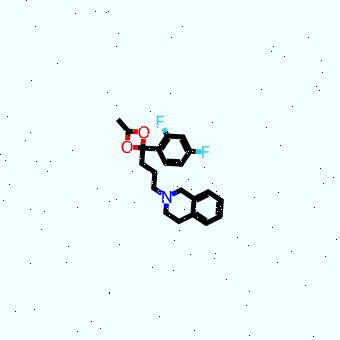 CC1OC(CCCN2CCc3ccccc3C2)(c2ccc(F)cc2F)O1